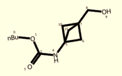 CCCCOC(=O)NC12CC(CO)(C1)C2